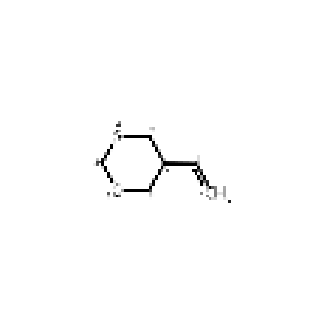 C=CC1COCSC1